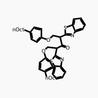 CCCCCCCCc1ccc(OCC(C(=O)C(COc2ccc(CCCCCCCC)cc2)c2nc3ccccc3s2)c2nc3ccccc3s2)cc1